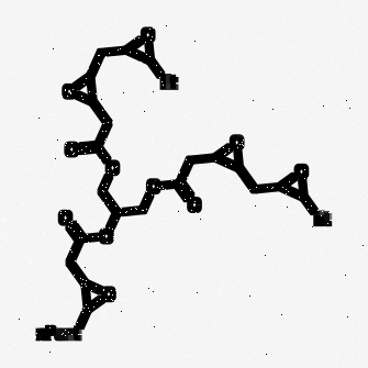 CCCCCC1OC1CC(=O)OC(COC(=O)CC1OC1CC1OC1CC)COC(=O)CC1OC1CC1OC1CC